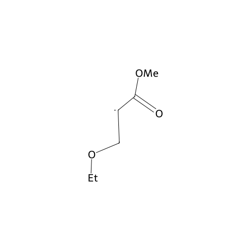 CCOC[CH]C(=O)OC